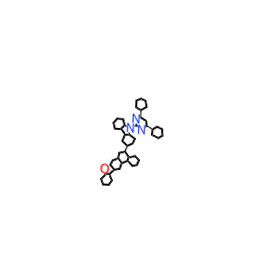 c1ccc(-c2cc(-c3ccccc3)nc(-n3c4ccccc4c4cc(-c5cc6cc7oc8ccccc8c7cc6c6ccccc56)ccc43)n2)cc1